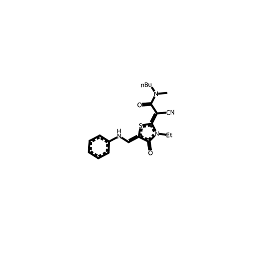 CCCCN(C)C(=O)/C(C#N)=c1\sc(=CNc2ccccc2)c(=O)n1CC